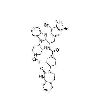 CN1CCC(n2c([C@@H](Cc3cc(Br)c(N)c(Br)c3)NC(=O)N3CCC(N4CCc5ccccc5NC4=O)CC3)nc3ccccc32)CC1